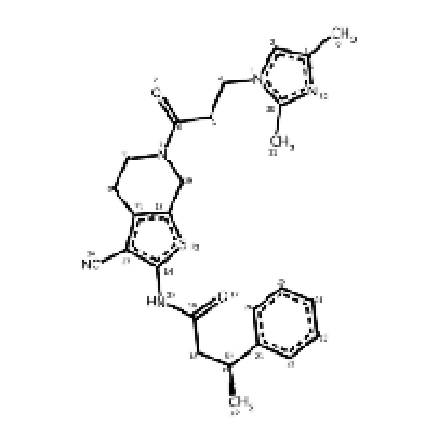 Cc1cn(CCC(=O)N2CCc3c(sc(NC(=O)C[C@H](C)c4ccccc4)c3C#N)C2)c(C)n1